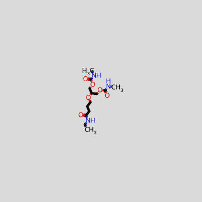 CCNC(=O)CCCOC(COC(=O)NC)COC(=O)NC